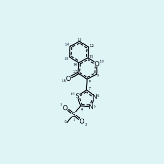 CS(=O)(=O)c1nnc(-c2coc3ccccc3c2=O)s1